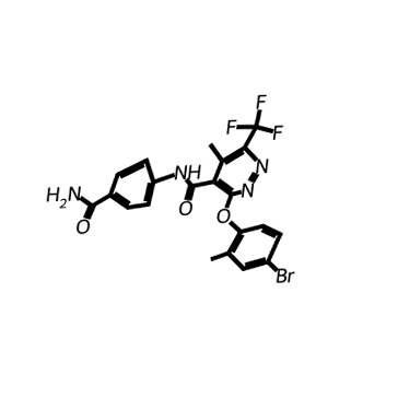 Cc1cc(Br)ccc1Oc1nnc(C(F)(F)F)c(C)c1C(=O)Nc1ccc(C(N)=O)cc1